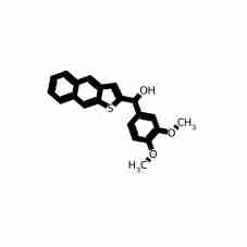 COc1ccc(C(O)c2cc3cc4ccccc4cc3s2)cc1OC